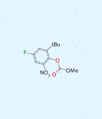 COC(=O)Oc1c([N+](=O)[O-])cc(F)cc1C(C)(C)C